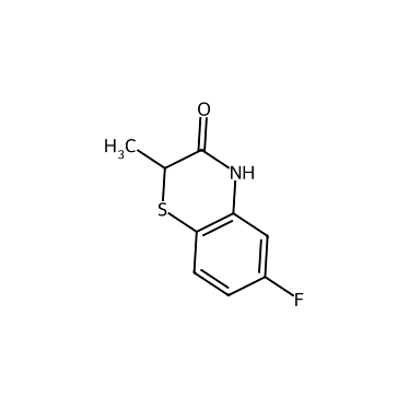 CC1Sc2ccc(F)cc2NC1=O